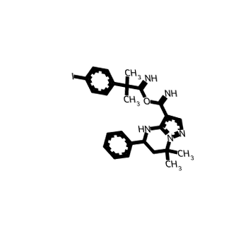 CC(C)(C(=N)OC(=N)c1cnn2c1NC(c1ccccc1)CC2(C)C)c1ccc(I)cc1